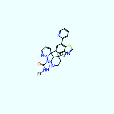 CCNC(=O)NN1N=CC=CC1(c1cc(-c2ccccn2)c2scnc2c1)C1CNCCC1(C)C(=O)O